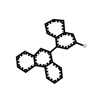 Clc1cc(-c2cc3ccccc3c3ccccc23)c2ccccc2c1